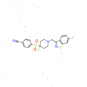 N#Cc1ccc(S(=O)(=O)C2(F)CCN(Cc3nsc4cc(F)ccc34)CC2)cc1